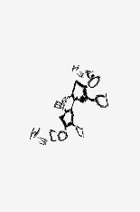 COc1cc(Br)c(-c2cc(Cl)c(OC)cc2Br)cc1Cl